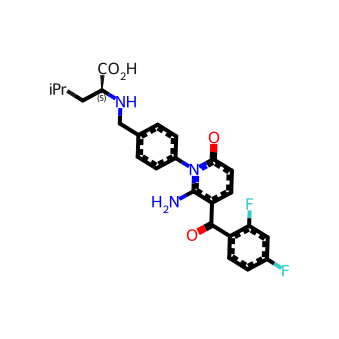 CC(C)C[C@H](NCc1ccc(-n2c(N)c(C(=O)c3ccc(F)cc3F)ccc2=O)cc1)C(=O)O